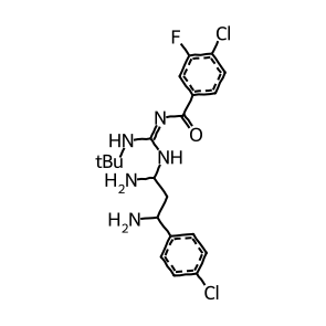 CC(C)(C)N/C(=N/C(=O)c1ccc(Cl)c(F)c1)NC(N)CC(N)c1ccc(Cl)cc1